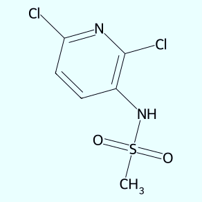 CS(=O)(=O)Nc1ccc(Cl)nc1Cl